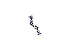 CCN(CC)C(C)(C)CCCC[N+]1(C)CCC(CCCC2CC[N+](C)(C(C)(C)CCC[N+](CC)(CC)CC)CC2)CC1